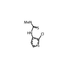 CNC(=S)Nc1ccsc1Cl